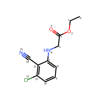 CCOC(=O)CNc1cccc(Cl)c1C#N